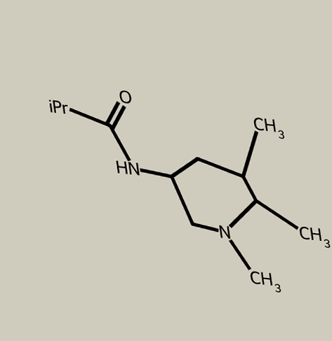 CC(C)C(=O)NC1CC(C)C(C)N(C)C1